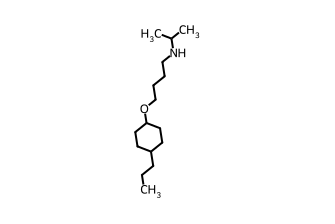 CCCC1CCC(OCCCCNC(C)C)CC1